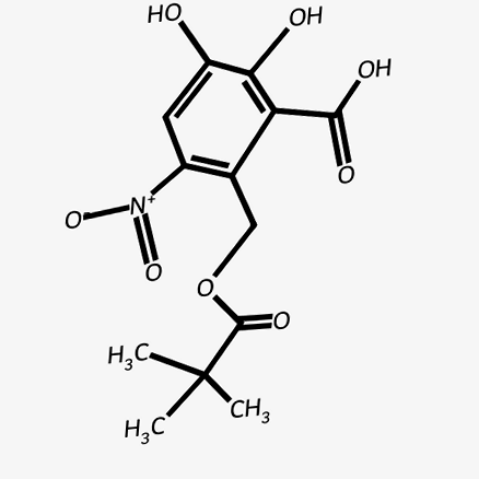 CC(C)(C)C(=O)OCc1c([N+](=O)[O-])cc(O)c(O)c1C(=O)O